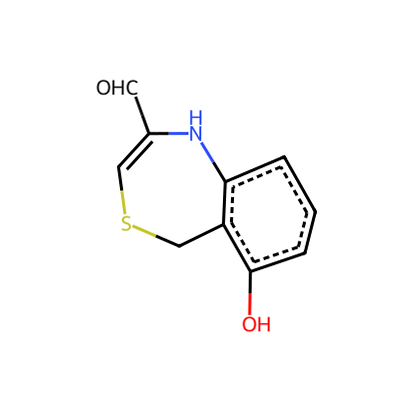 O=CC1=CSCc2c(O)cccc2N1